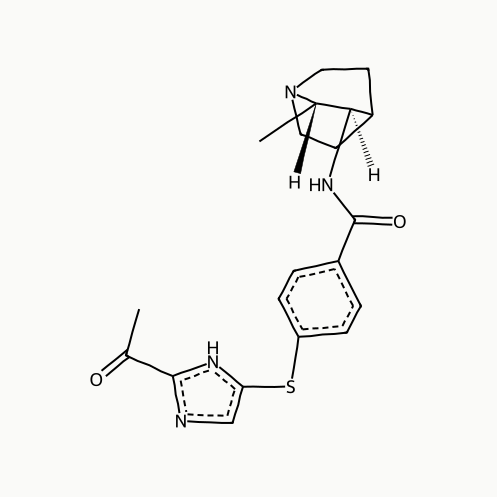 CC(=O)c1ncc(Sc2ccc(C(=O)N[C@@H]3C4CCN(CC4)[C@H]3C)cc2)[nH]1